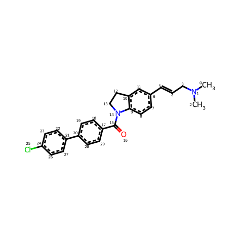 CN(C)CC=Cc1ccc2c(c1)CCN2C(=O)c1ccc(-c2ccc(Cl)cc2)cc1